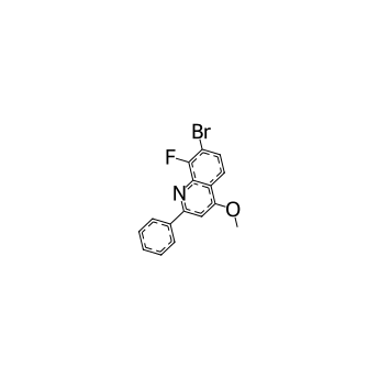 COc1cc(-c2ccccc2)nc2c(F)c(Br)ccc12